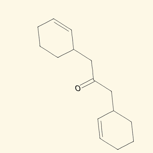 O=C(CC1C=CCCC1)CC1C=CCCC1